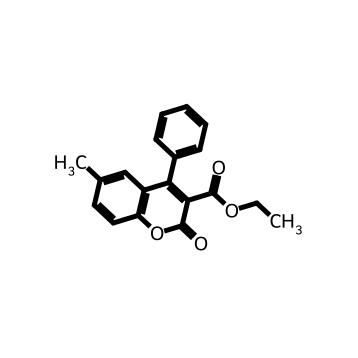 CCOC(=O)c1c(-c2ccccc2)c2cc(C)ccc2oc1=O